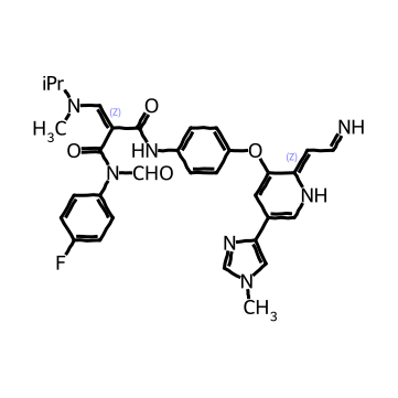 CC(C)N(C)/C=C(/C(=O)Nc1ccc(OC2=CC(c3cn(C)cn3)=CN/C2=C\C=N)cc1)C(=O)N(C=O)c1ccc(F)cc1